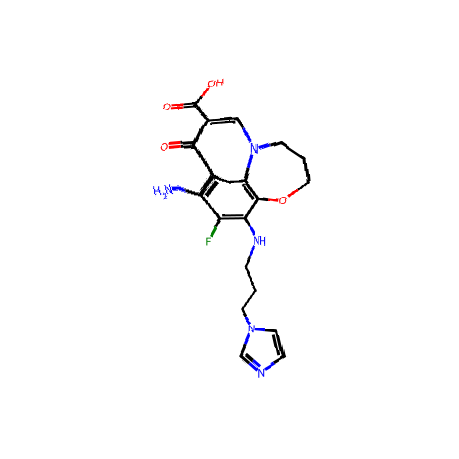 Nc1c(F)c(NCCCn2ccnc2)c2c3c1c(=O)c(C(=O)O)cn3CCCO2